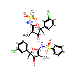 CC(=O)OC1=C(NS(=O)(=O)c2ccccc2)OC(C)(c2cccc(Cl)c2)C1=O.CCS(=O)(=O)NC1=C(OC(C)=O)C(=O)C(C)(c2cccc(Cl)c2)O1